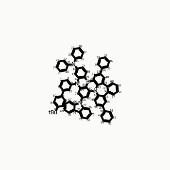 CC(C)(C)c1ccc(-c2cccc(N3c4cc(N(c5ccccc5)c5ccccc5)ccc4B4c5cc(-c6ccccc6)cc6c5N(c5ccc(-c7ccccc7)cc5-c5ccccc5-6)c5cc(-n6c7ccccc7c7ccccc76)cc3c54)c2)cc1